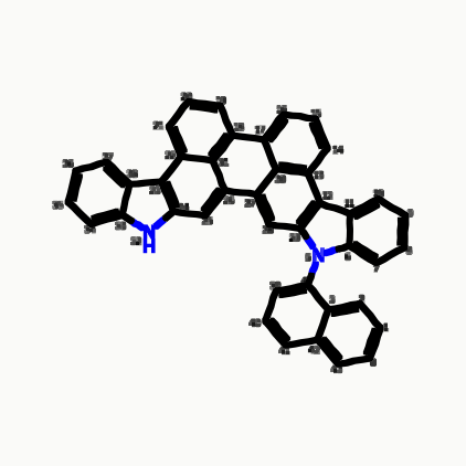 c1ccc2c(-n3c4ccccc4c4c5cccc6c7cccc8c9c(cc(c(cc43)c65)c78)[nH]c3ccccc39)cccc2c1